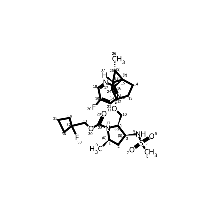 C[C@@H]1C[C@H](NS(C)(=O)=O)[C@H](CO[C@H]2CC[C@]3(c4ncc(F)cn4)[C@H](C2)[C@@H]3C)N1C(=O)OCC1(F)CCC1